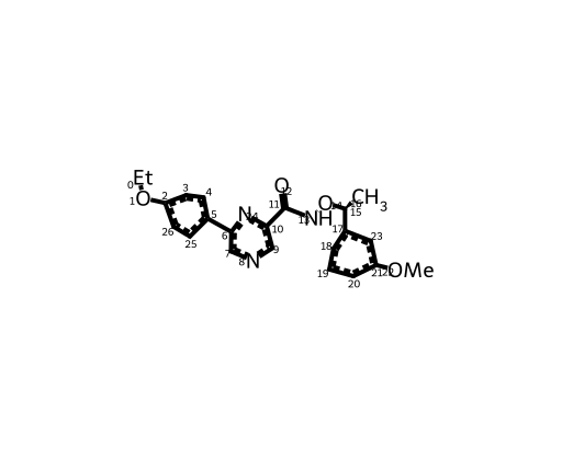 CCOc1ccc(-c2cncc(C(=O)NO[C@@H](C)c3cccc(OC)c3)n2)cc1